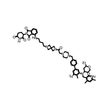 [2H]c1cc(-c2ccc(CN3CCN(CC(=O)N4CC5(CN(CCCCNc6cccc7c6C(=O)N(C6CCC(=O)NC6=O)C7=O)C5)C4)CC3)cc2)cc(N(Cc2c(C)cc(C)[nH]c2=O)C2CCOC(CC)C2)c1C